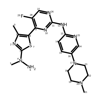 Cc1nc(N(C)N)sc1-c1nc(Nc2ccc(N3CCN(C)CC3)cn2)ncc1F